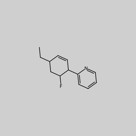 CCC1C=CC(c2ccccn2)C(F)C1